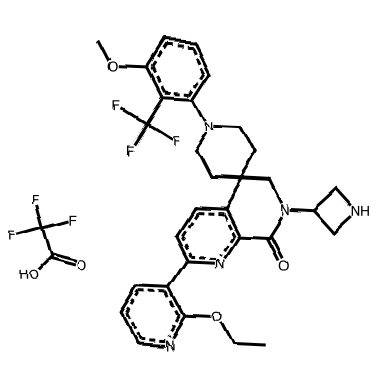 CCOc1ncccc1-c1ccc2c(n1)C(=O)N(C1CNC1)CC21CCN(c2cccc(OC)c2C(F)(F)F)CC1.O=C(O)C(F)(F)F